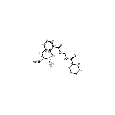 C=C(OCOC(=O)C1CCCCC1)c1cccc2c1OB(O)[C@@H](NC(C)=O)C2